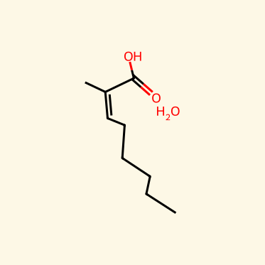 CCCCCC=C(C)C(=O)O.O